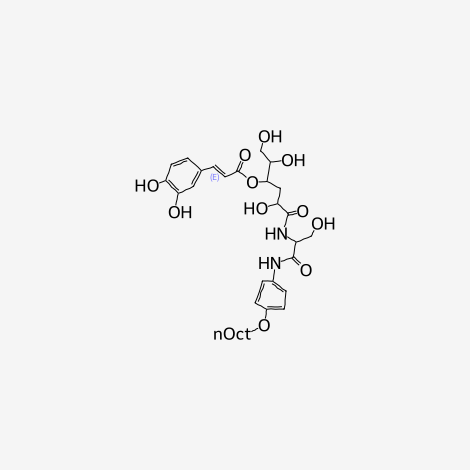 CCCCCCCCOc1ccc(NC(=O)C(CO)NC(=O)C(O)CC(OC(=O)/C=C/c2ccc(O)c(O)c2)C(O)CO)cc1